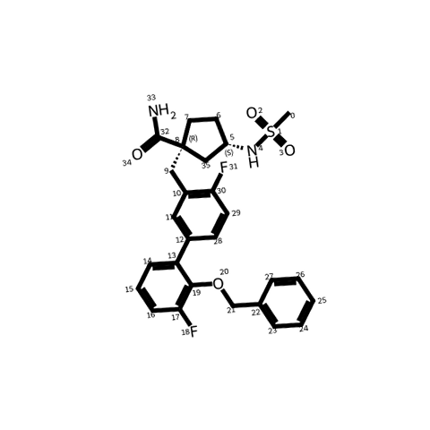 CS(=O)(=O)N[C@H]1CC[C@](Cc2cc(-c3cccc(F)c3OCc3ccccc3)ccc2F)(C(N)=O)C1